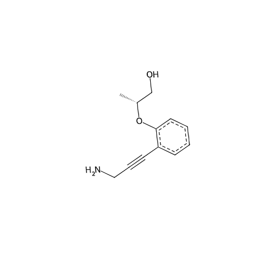 C[C@H](CO)Oc1ccccc1C#CCN